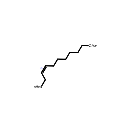 CCCCCCC/C=C\CCCCCCOC